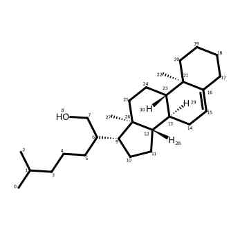 CC(C)CCCC(CO)[C@H]1CC[C@H]2[C@@H]3CC=C4CCCC[C@]4(C)[C@H]3CC[C@]12C